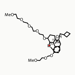 COCCOCCOCCOCCOC1CC[C@@]2(O)C3Cc4ccc(OCOCCOC)c5c4[C@@]2(CCN3CC2CCC2)[C@H]1O5